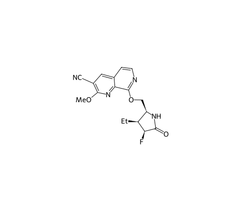 CC[C@@H]1[C@H](F)C(=O)N[C@@H]1COc1nccc2cc(C#N)c(OC)nc12